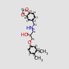 Cc1ccc(OC[C@@H](O)CNCc2ccc3c(c2)OCO3)cc1C